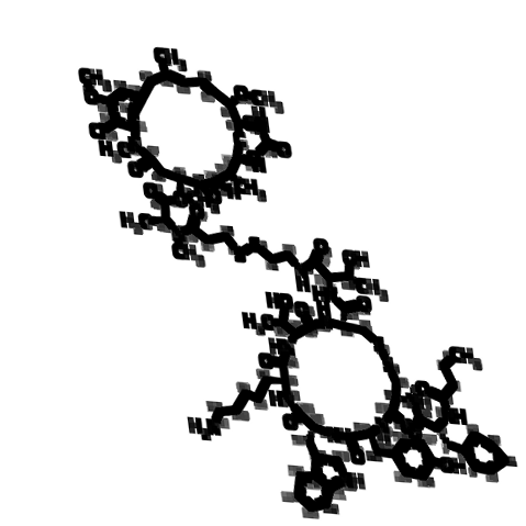 CCCC(=O)N[C@H](Cc1ccccc1)C(=O)N[C@H]1CSSC[C@@H](C(=O)N[C@H](C(=O)NCCSSCCC(=O)N(C)[C@@H](C)C(=O)O[C@H]2CC(=O)N(C)c3cc(cc(OC)c3Cl)C/C(C)=C/C=C/[C@@H](OC)[C@@]3(O)C[C@H](OC(=O)N3)[C@@H](C)[C@@H]3O[C@@]23C)[C@@H](C)O)NC(=O)[C@H]([C@@H](C)O)NC(=O)[C@H](CCCCCN)NC(=O)[C@@H](Cc2c[nH]c3ccccc23)NC(=O)[C@H](Cc2ccc(O)cc2)NC1=O